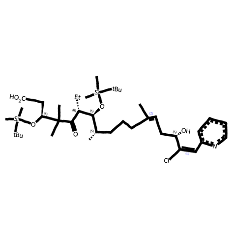 CC[C@@H](C(=O)C(C)(C)[C@H](CC(=O)O)O[Si](C)(C)C(C)(C)C)[C@@H](O[Si](C)(C)C(C)(C)C)[C@@H](C)CCC/C(C)=C\C[C@H](O)/C(Cl)=C\c1ccccn1